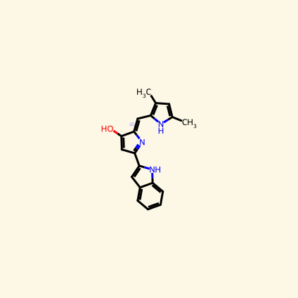 Cc1cc(C)c(/C=C2\N=C(c3cc4ccccc4[nH]3)C=C2O)[nH]1